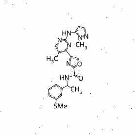 CSc1cccc(C(C)NC(=O)c2nc(-c3nc(Nc4ccnn4C)ncc3C)co2)c1